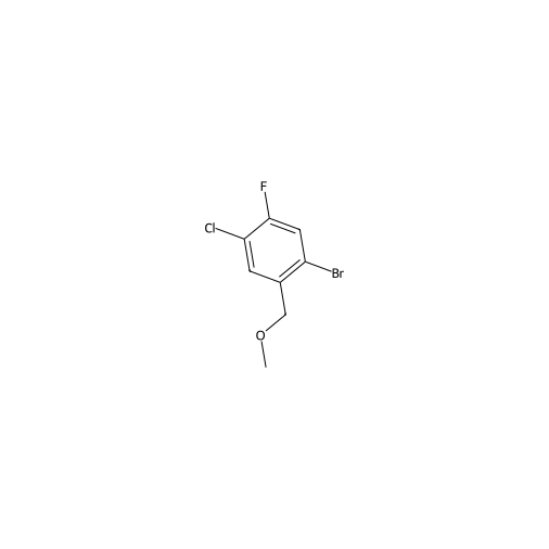 COCc1cc(Cl)c(F)cc1Br